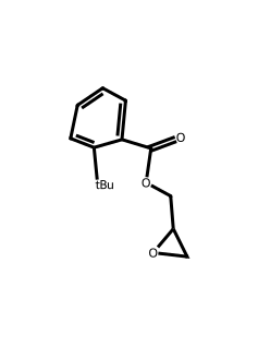 CC(C)(C)c1ccccc1C(=O)OCC1CO1